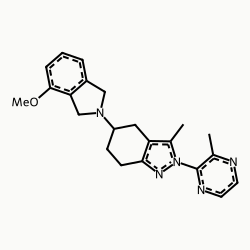 COc1cccc2c1CN(C1CCc3nn(-c4nccnc4C)c(C)c3C1)C2